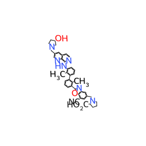 Cc1c(Nc2nccc3cc(CN4CCC(O)C4)cnc23)cccc1-c1cccc(-c2nc3cc(CN4CCCC4C(=O)O)cc(C#N)c3o2)c1C